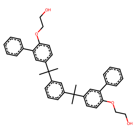 CC(C)(c1cccc(C(C)(C)c2ccc(OCCO)c(-c3ccccc3)c2)c1)c1ccc(OCCO)c(-c2ccccc2)c1